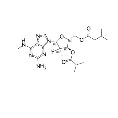 CNc1nc(N)nc2c1ncn2[C@@H]1O[C@H](COC(=O)CC(C)C)[C@@H](OC(=O)C(C)C)[C@@]1(C)F